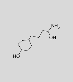 NC(O)CCCC1CCC(O)CC1